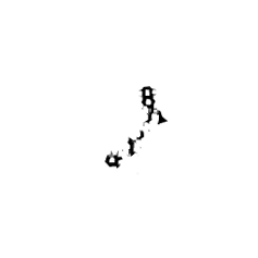 Cc1cccnc1CNC(=O)c1coc(CCNCCc2nc3cc4c(cc3n2CC2CC2)OCCO4)n1